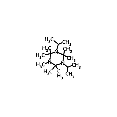 CC(C)N1C(C)(C)N(C)C(C)(C)N(C(C)C)C1(C)C